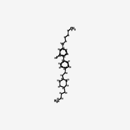 CCCCCOc1ccc(-c2ccc(CCC3SCC(CCCC)CS3)cc2)c(F)c1